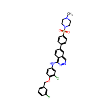 CN1CCN(S(=O)(=O)c2ccc(-c3ccc4c(Nc5ccc(OCc6cccc(F)c6)c(Cl)c5)nncc4c3)cc2)CC1